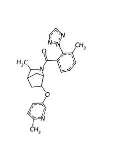 Cc1ccc(OC2CC3CC2N(C(=O)c2cccc(C)c2-n2nccn2)C3C)cn1